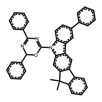 CC1(C)c2ccccc2-c2cc3c4cc(-c5ccccc5)ccc4n(C4=NC(c5ccccc5)=NC(c5ccccc5)O4)c3cc21